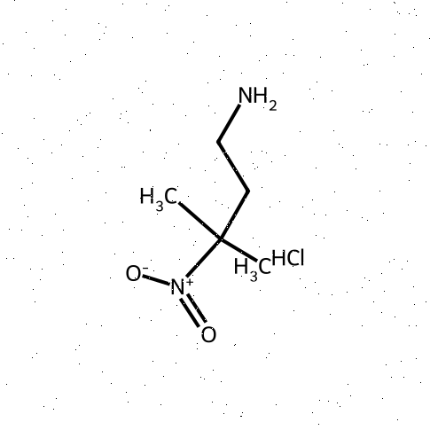 CC(C)(CCN)[N+](=O)[O-].Cl